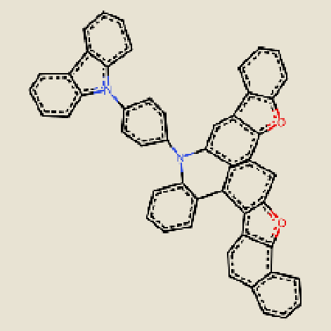 c1ccc(N(c2ccc(-n3c4ccccc4c4ccccc43)cc2)c2ccc3oc4ccccc4c3c2)c(-c2cccc3oc4c5ccccc5ccc4c23)c1